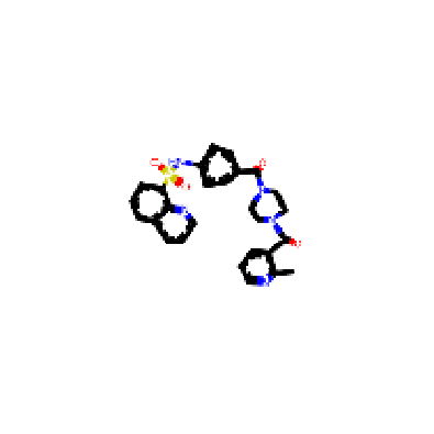 Cc1ncccc1C(=O)N1CCN(C(=O)c2ccc(NS(=O)(=O)c3cccc4cccnc34)cc2)CC1